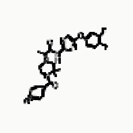 C[C@@H](C(=O)Nc1cnc(Oc2ccc(F)c(F)c2)cn1)N1CCN(C(=O)c2cc[n+]([O-])cc2)C(C)(C)C1